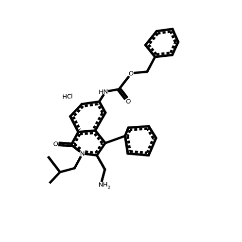 CC(C)Cn1c(CN)c(-c2ccccc2)c2cc(NC(=O)OCc3ccccc3)ccc2c1=O.Cl